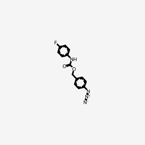 [N-]=[N+]=Nc1ccc(COC(=O)Nc2ccc(F)cc2)cc1